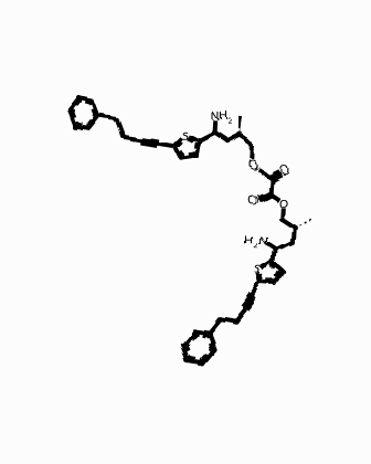 C[C@@H](COC(=O)C(=O)OC[C@H](C)CC(N)c1ccc(C#CCCc2ccccc2)s1)CC(N)c1ccc(C#CCCc2ccccc2)s1